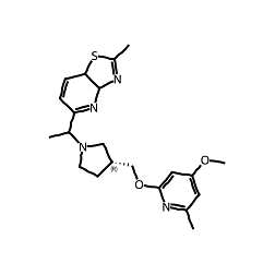 COc1cc(C)nc(OC[C@@H]2CCN(C(C)C3=NC4N=C(C)SC4C=C3)C2)c1